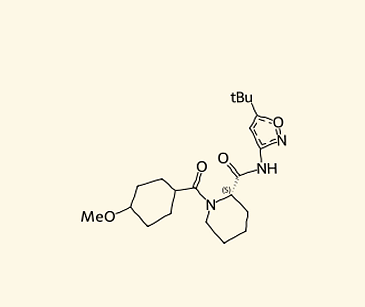 COC1CCC(C(=O)N2CCCC[C@H]2C(=O)Nc2cc(C(C)(C)C)on2)CC1